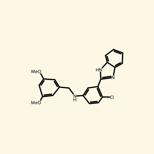 COc1cc(CNc2ccc(Cl)c(-c3nc4ccccc4[nH]3)c2)cc(OC)c1